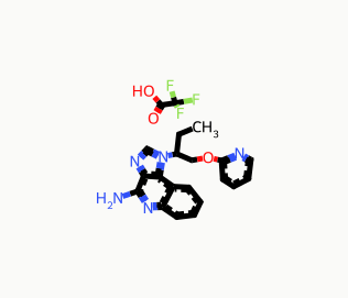 CCC(COc1ccccn1)n1cnc2c(N)nc3ccccc3c21.O=C(O)C(F)(F)F